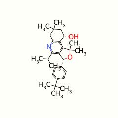 CC(C)c1nc2c(c3c1[C@@H](c1ccc(C(C)(C)C)cc1)OC3(C)C)[C@@H](O)CC(C)(C)C2